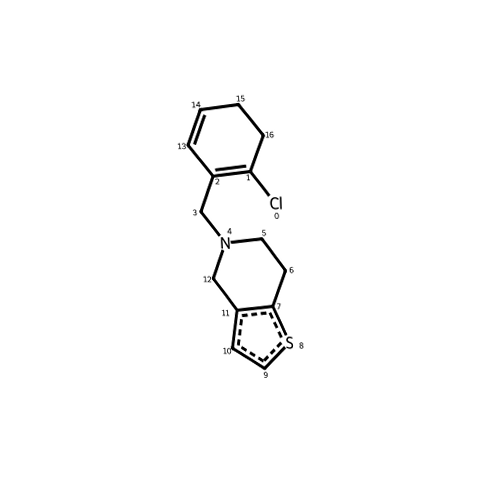 ClC1=C(CN2CCc3sccc3C2)C=CCC1